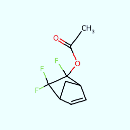 CC(=O)OC1(F)C2C=CC(C2)C1(F)F